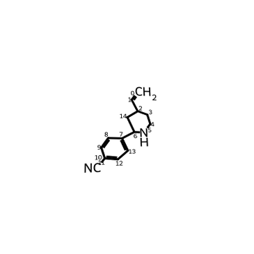 C=CC1CCNC(c2ccc(C#N)cc2)C1